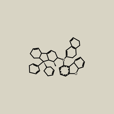 C[C@@H]1C(N(C2=CC3=C(CCC=C3)CC2)c2cccc3c2C2C=CC=CC2O3)CC=C2C3C=CCCC3[C@](C3=CCCC=C3)(C3CC=CCC3)C21